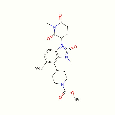 COc1ccc2c(c1C1CCN(C(=O)OC(C)(C)C)CC1)n(C)c(=O)n2C1CCC(=O)N(C)C1=O